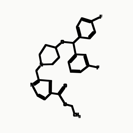 CCOC(=O)c1ccnc(CN2CCC(OC(c3ccc(F)cc3)c3cccc(F)c3)CC2)c1